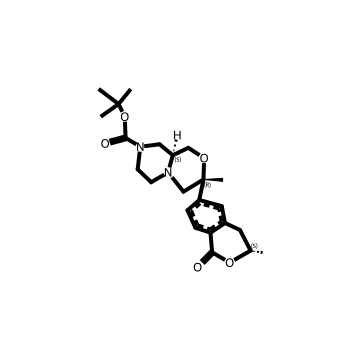 C[C@H]1Cc2cc([C@]3(C)CN4CCN(C(=O)OC(C)(C)C)C[C@H]4CO3)ccc2C(=O)O1